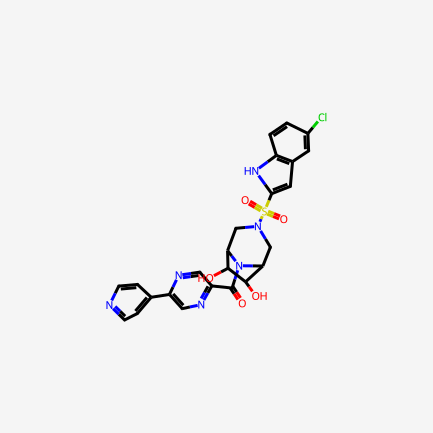 O=C(c1cnc(-c2ccncc2)cn1)N1C2CN(S(=O)(=O)c3cc4cc(Cl)ccc4[nH]3)CC1C(O)C2O